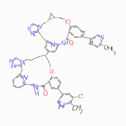 Cc1ccc(-c2ccc3c(c2)C(=O)Nc2cc(C4CCn5cnnc5-c5cccc(n5)NC(=O)c5cc(-c6cnc(C)c(Cl)c6)ccc5OC4)cc(n2)-c2nncn2CC2CC2CO3)cn1